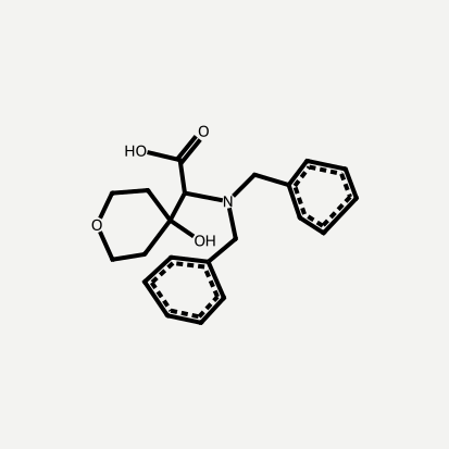 O=C(O)C(N(Cc1ccccc1)Cc1ccccc1)C1(O)CCOCC1